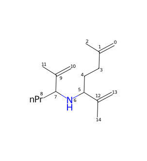 C=C(C)CCC(NC(CCC)C(=C)C)C(=C)C